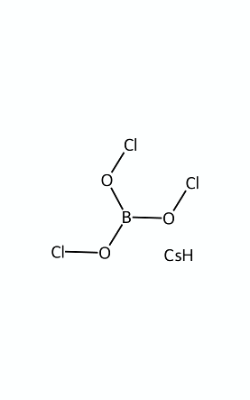 ClOB(OCl)OCl.[CsH]